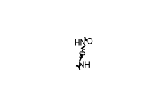 CC(=O)NCCSSCCNC(C)C